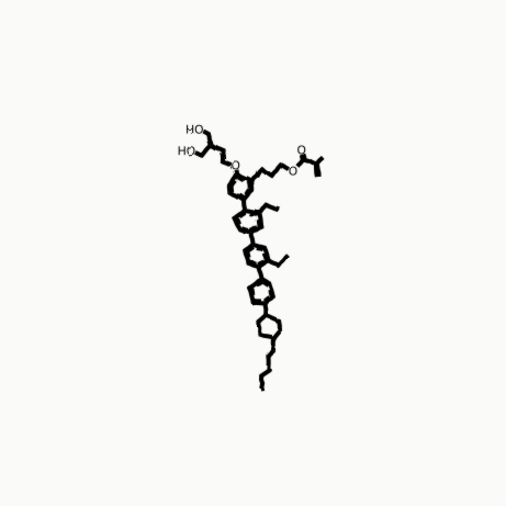 C=C(C)C(=O)OCCCc1cc(-c2ccc(-c3ccc(-c4ccc(C5CCC(CCCCC)CC5)cc4)c(CC)c3)cc2CC)ccc1OCCC(CO)CO